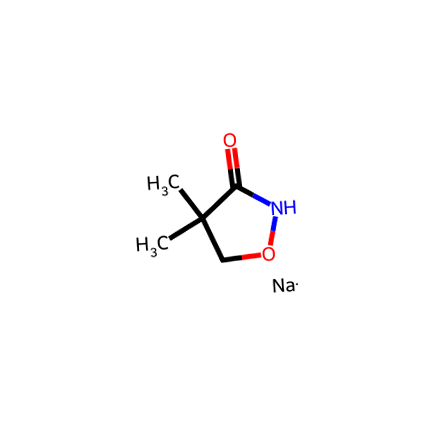 CC1(C)CONC1=O.[Na]